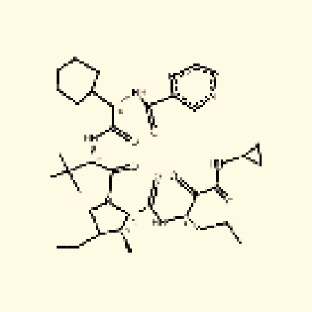 CCC[C@H](NC(=O)[C@@H]1[C@@H](C)C(CC)CN1C(=O)[C@@H](NC(=O)[C@@H](NC(=O)c1cnccn1)C1CCCCC1)C(C)(C)C)C(=O)C(=O)NC1CC1